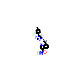 CNC(=O)c1ccnc2c([C@H](C)CNc3cc(-c4ccc(C)cc4F)ncn3)cccc12